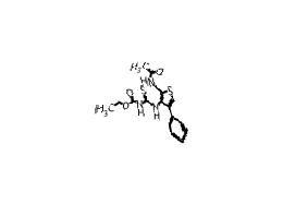 CCOC(=O)NC(=S)Nc1c(-c2ccccc2)csc1NC(C)=O